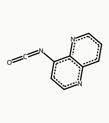 O=C=Nc1ccnc2cccnc12